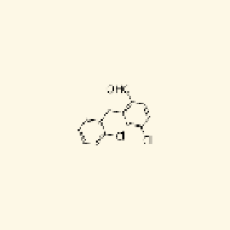 O=Cc1ccc(Cl)cc1Cc1ccccc1Cl